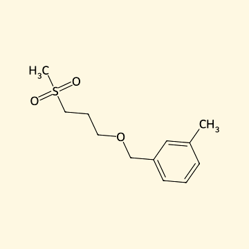 Cc1cccc(COCCCS(C)(=O)=O)c1